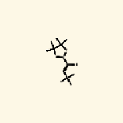 CC(C)(C)C=C(Cl)B1OC(C)(C)C(C)(C)O1